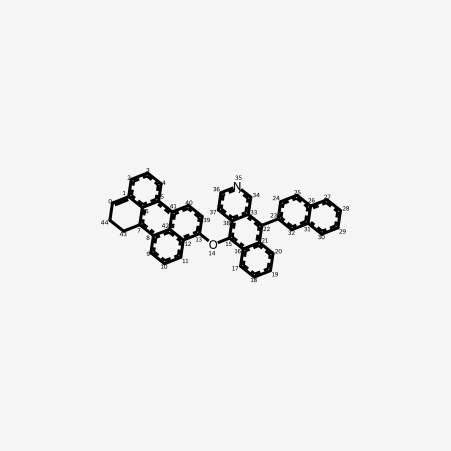 C1=c2cccc3c2c(c2cccc4c(Oc5c6ccccc6c(-c6ccc7ccccc7c6)c6cnccc56)ccc3c42)CC1